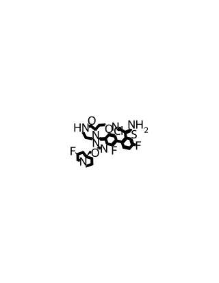 N#Cc1c(N)sc2c(F)ccc(-c3c(Cl)c4c5c(nc(OC[C@@]67CCCN6C[C@H](F)C7)nc5c3F)N3CCCNC(=O)C3CCO4)c12